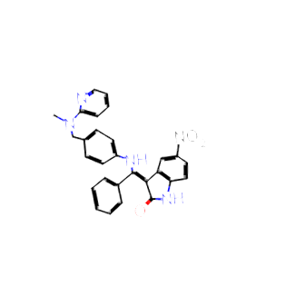 CN(Cc1ccc(NC(=C2C(=O)Nc3ccc([N+](=O)[O-])cc32)c2ccccc2)cc1)c1ccccn1